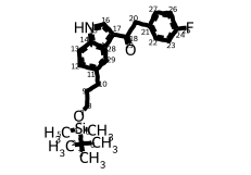 CC(C)(C)[Si](C)(C)OCCCc1ccc2[nH]cc(C(=O)Cc3ccc(F)cc3)c2c1